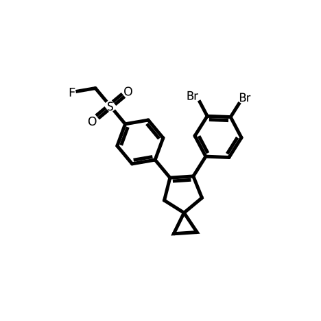 O=S(=O)(CF)c1ccc(C2=C(c3ccc(Br)c(Br)c3)CC3(CC3)C2)cc1